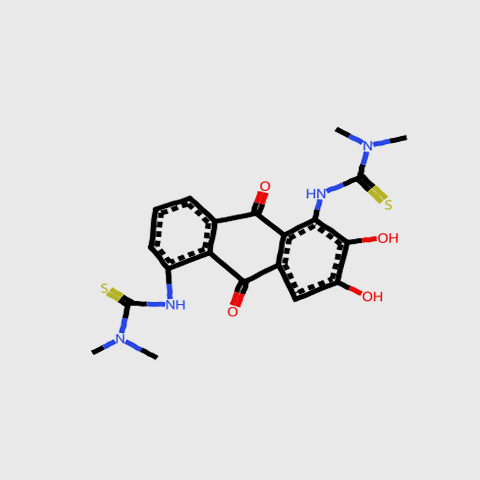 CN(C)C(=S)Nc1cccc2c1C(=O)c1cc(O)c(O)c(NC(=S)N(C)C)c1C2=O